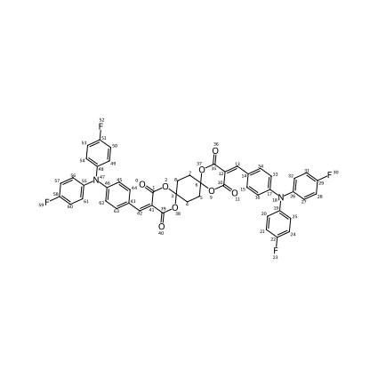 O=C1OC2(CCC3(CC2)OC(=O)C(=Cc2ccc(N(c4ccc(F)cc4)c4ccc(F)cc4)cc2)C(=O)O3)OC(=O)C1=Cc1ccc(N(c2ccc(F)cc2)c2ccc(F)cc2)cc1